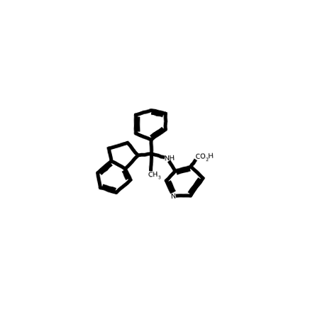 CC(Nc1cnccc1C(=O)O)(c1ccccc1)C1CCc2ccccc21